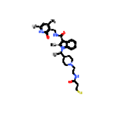 Cc1cc(C)c(CNC(=O)c2c(C)n([C@H](C)C3CCN(CCNC(=O)CCS)CC3)c3ccccc23)c(=O)[nH]1